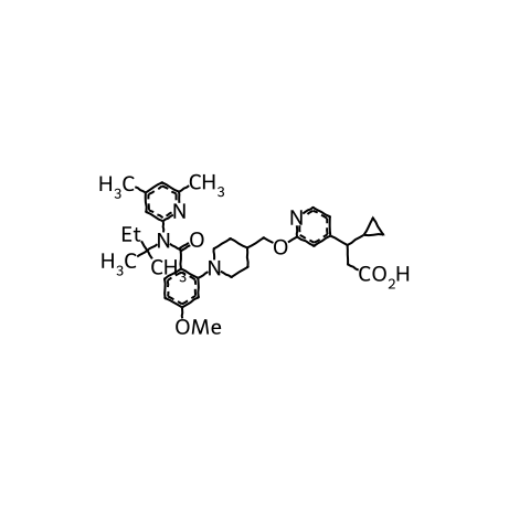 CCC(C)(C)N(C(=O)c1ccc(OC)cc1N1CCC(COc2cc(C(CC(=O)O)C3CC3)ccn2)CC1)c1cc(C)cc(C)n1